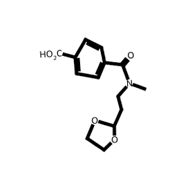 CN(CCC1OCCO1)C(=O)c1ccc(C(=O)O)cc1